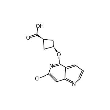 O=C(O)[C@H]1C[C@@H](Oc2nc(Cl)cc3ncccc23)C1